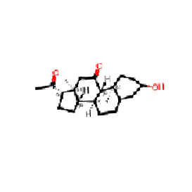 CC(=O)[C@H]1CC[C@H]2[C@@H]3CCC4CC(O)CC[C@]4(C)[C@H]3C(=O)C[C@]12C